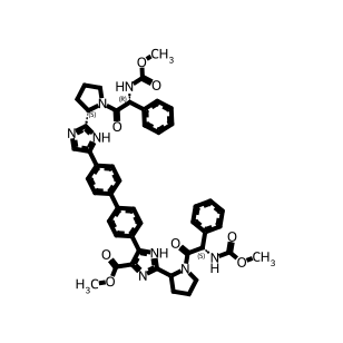 COC(=O)N[C@H](C(=O)N1CCCC1c1nc(C(=O)OC)c(-c2ccc(-c3ccc(-c4cnc([C@@H]5CCCN5C(=O)[C@H](NC(=O)OC)c5ccccc5)[nH]4)cc3)cc2)[nH]1)c1ccccc1